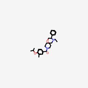 CCN1CC2(CCN(C(=O)c3ccc(OC(C)C)c(C)c3)CC2)OCC1c1ccccc1